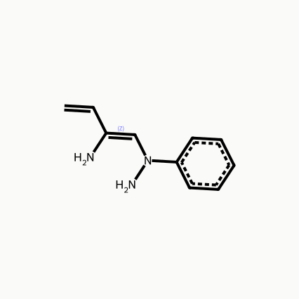 C=C/C(N)=C/N(N)c1ccccc1